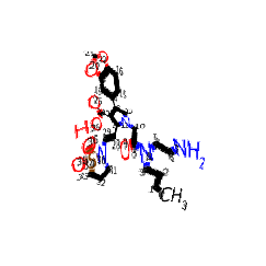 CCCCN(CCN)C(=O)CN1C[C@H](c2ccc3c(c2)OCO3)[C@@H](C(=O)O)[C@@H]1CCN1CCCS1(=O)=O